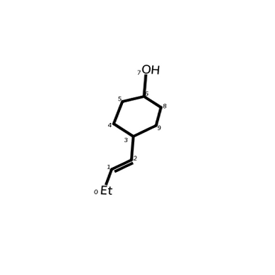 CC/C=C/C1CCC(O)CC1